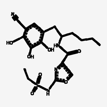 CCCCC(Cc1cc(C#N)c(O)c(O)c1O)NC(=O)c1coc(NS(=O)(=O)CC)n1